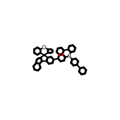 c1ccc(-c2ccc(N(c3ccc(-c4ccc5c(c4)C4(c6ccccc6Oc6ccccc64)c4ccc6ccccc6c4-5)cc3)c3ccccc3-c3ccccc3)cc2)cc1